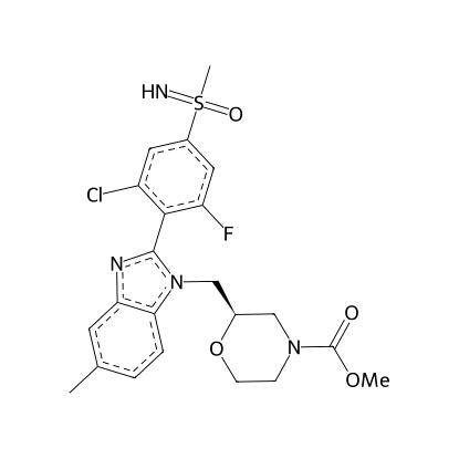 COC(=O)N1CCO[C@@H](Cn2c(-c3c(F)cc(S(C)(=N)=O)cc3Cl)nc3cc(C)ccc32)C1